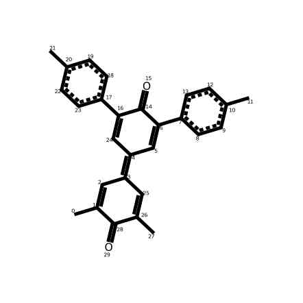 CC1=CC(=C2C=C(c3ccc(C)cc3)C(=O)C(c3ccc(C)cc3)=C2)C=C(C)C1=O